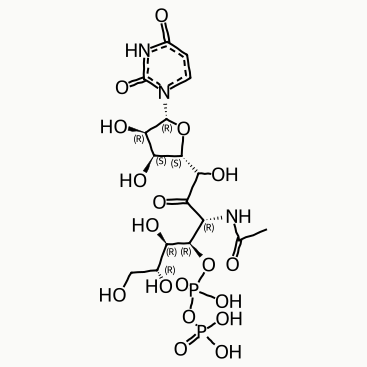 CC(=O)N[C@@H](C(=O)C(O)[C@H]1O[C@@H](n2ccc(=O)[nH]c2=O)[C@H](O)[C@@H]1O)[C@@H](OP(=O)(O)OP(=O)(O)O)[C@H](O)[C@H](O)CO